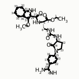 CCOC(=O)[C@H](CNC(=O)NC1CCN(c2ccc(C(=N)N)cc2)C1=O)NC(=O)c1[nH]c2ccccc2c1OC